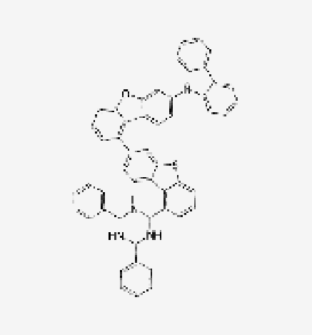 c1ccc(C2NC(c3ccccc3)NC(c3cccc4sc5cc(-c6cccc7oc8cc(-n9c%10ccccc%10c%10ccccc%109)ccc8c67)ccc5c34)N2)cc1